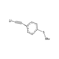 [Li][C]#Cc1ccc(SC(C)(C)C)cc1